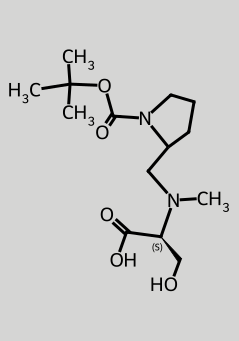 CN(CC1CCCN1C(=O)OC(C)(C)C)[C@@H](CO)C(=O)O